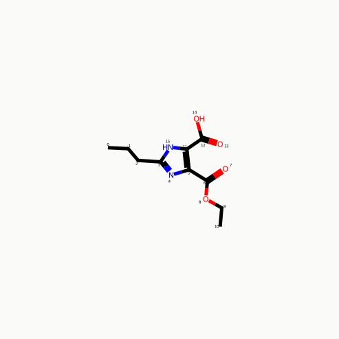 CCCc1nc(C(=O)OCC)c(C(=O)O)[nH]1